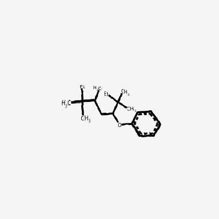 [CH2]C(CC(Oc1ccccc1)C(C)(C)CC)C(C)(C)CC